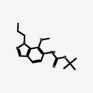 CCCn1ncc2ccc(NC(=O)OC(C)(C)C)c(OC)c21